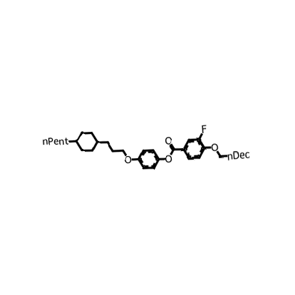 CCCCCCCCCCCOc1ccc(C(=O)Oc2ccc(OCCCC3CCC(CCCCC)CC3)cc2)cc1F